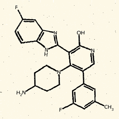 Cc1cc(F)cc(-c2cnc(O)c(-c3nc4cc(F)ccc4[nH]3)c2N2CCC(N)CC2)c1